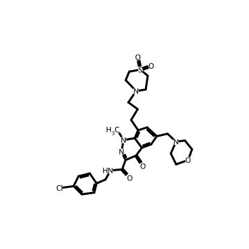 Cn1nc(C(=O)NCc2ccc(Cl)cc2)c(=O)c2cc(CN3CCOCC3)cc(CCCN3CCS(=O)(=O)CC3)c21